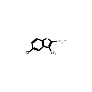 CCOC(=O)c1sc2ccc(Cl)cc2c1C(F)(F)F